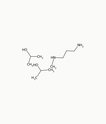 CC(C)O.CC(C)O.CNCCCN